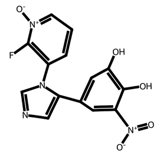 O=[N+]([O-])c1cc(-c2cncn2-c2ccc[n+]([O-])c2F)cc(O)c1O